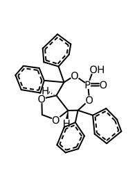 O=P1(O)OC(c2ccccc2)(c2ccccc2)[C@@H]2OCO[C@H]2C(c2ccccc2)(c2ccccc2)O1